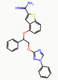 N=C(N)c1cc2c(OC(COc3ncn(-c4ccccc4)n3)c3ccccc3)cccc2s1